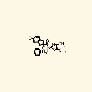 Cc1nc(NC(=O)[C@@]2(C)Cc3ccc(O)cc3[C@H]2c2ccccc2)sc1C